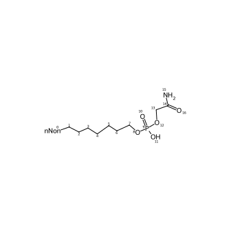 CCCCCCCCCCCCCCCCOP(=O)(O)OCC(N)=O